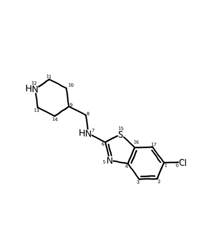 Clc1ccc2nc(NCC3CCNCC3)sc2c1